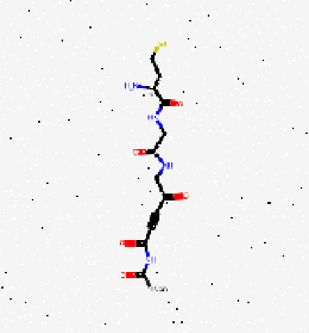 CCCCCCCCCC(=O)NC(=O)C#CC(=O)CNC(=O)CNC(=O)[C@@H](N)CCS